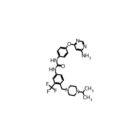 CC(C)N1CCN(Cc2ccc(NC(=O)Nc3ccc(Oc4cc(N)ncn4)cc3)cc2C(F)(F)F)CC1